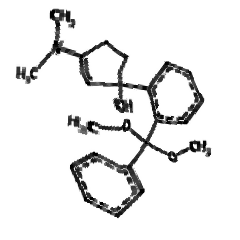 COC(OC)(c1ccccc1)c1ccccc1C1(O)C=C(N(C)C)CC1